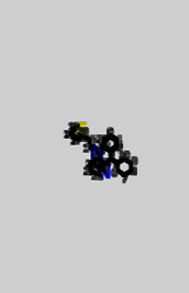 c1ccc(C(C2CCCCC2)C2C(=NCCc3cccs3)C3CCN2CC3)cc1